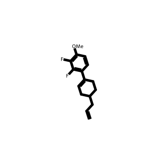 C=CCC1CC=C(c2ccc(OC)c(F)c2F)CC1